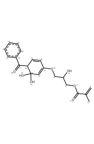 C=C(C)C(=O)OCC(O)COC1=CC(O)(O)C(C(=O)c2ccccc2)C=C1